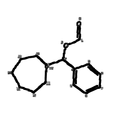 O=COC(c1ccccc1)N1CCCCCC1